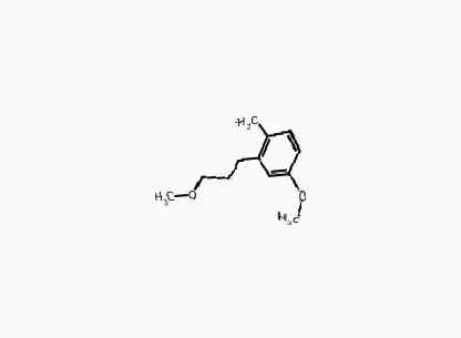 [CH2]c1ccc(OC)cc1C[CH]COC